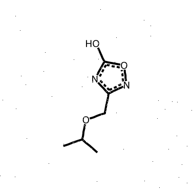 CC(C)OCc1noc(O)n1